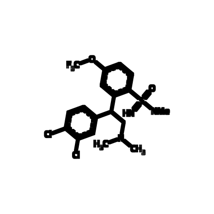 CNS(=N)(=O)c1ccc(OC(F)(F)F)cc1C(CN(C)C)c1ccc(Cl)c(Cl)c1